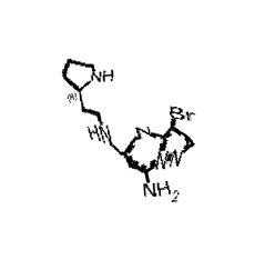 Nc1cc(NCC[C@H]2CCCN2)nc2c(Br)cnn12